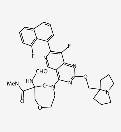 CNC(=O)C1(NC=O)COCCN(c2nc(OCC34CCCN3CCC4)nc3c(F)c(-c4cccc5cccc(F)c45)ncc23)C1